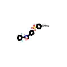 CC(=O)Nc1ccc(S(=O)(=O)Oc2ccc(C3COC(c4c(F)cccc4F)=N3)cc2)cc1